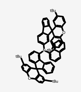 CC(C)(C)c1ccc2c(c1)C1(c3cc(C(C)(C)C)ccc3O2)c2ccccc2-c2ccc(N(c3cccc4c3-c3ccccc3C43c4cc(C(C)(C)C)ccc4Oc4ccc(C(C)(C)C)cc43)c3cccc4ccccc34)cc21